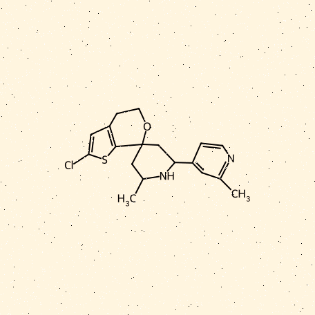 Cc1cc(C2CC3(CC(C)N2)OCCc2cc(Cl)sc23)ccn1